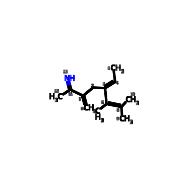 C=C(C/C(=C\C)C(C)=C(C)C)C(C)=N